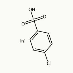 O=S(=O)(O)c1ccc(Cl)cc1.[In]